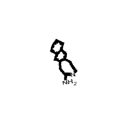 NC1=NC=Cc2cc3ccccc3cc2C1